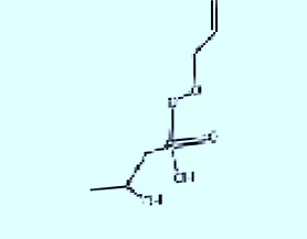 C=CCOOP(=O)(O)CC(C)O